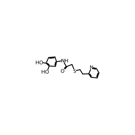 O=C(CSCCc1ccccn1)Nc1ccc(O)c(O)c1